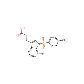 Cc1ccc(S(=O)(=O)n2cc(C=CC(=O)O)c3cccc(F)c32)cc1